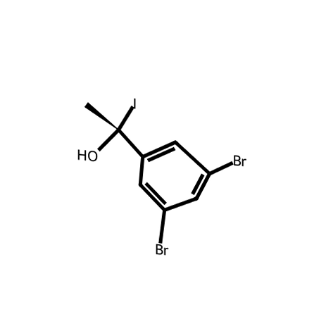 C[C@@](O)(I)c1cc(Br)cc(Br)c1